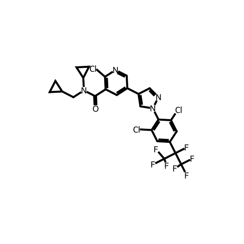 O=C(c1cc(-c2cnn(-c3c(Cl)cc(C(F)(C(F)(F)F)C(F)(F)F)cc3Cl)c2)cnc1Cl)N(CC1CC1)C1CC1